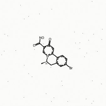 C[C@@H]1Cc2cc(Br)ccc2-c2cc(=O)c(C(=O)N=O)cn21